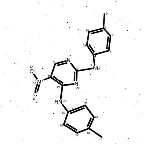 Cc1ccc(Nc2ncc([N+](=O)[O-])c(Nc3ccc(C)cc3)n2)cc1